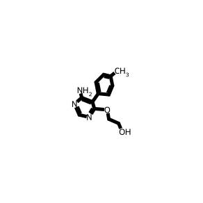 Cc1ccc(-c2c(N)ncnc2OCCO)cc1